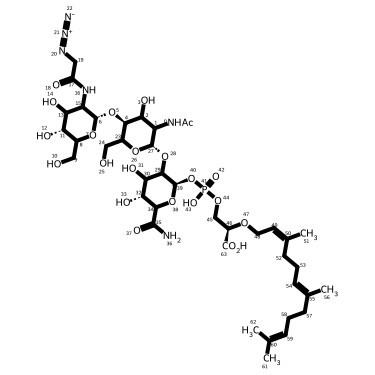 CC(=O)NC1C(O)[C@H](O[C@@H]2OC(CO)[C@H](O)C(O)C2NC(=O)CN=[N+]=[N-])C(CO)O[C@H]1OC1C(O)[C@@H](O)C(C(N)=O)O[C@@H]1OP(=O)(O)OC[C@@H](OC/C=C(/C)CC/C=C(\C)CCC=C(C)C)C(=O)O